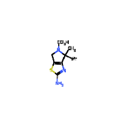 CC(C)C1(C)c2nc(N)sc2CN1C(=O)O